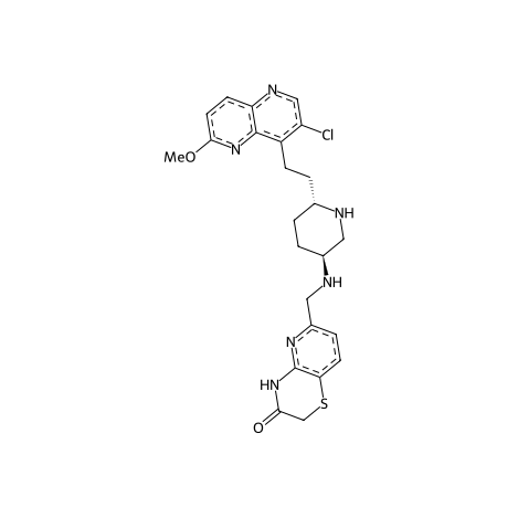 COc1ccc2ncc(Cl)c(CC[C@H]3CC[C@H](NCc4ccc5c(n4)NC(=O)CS5)CN3)c2n1